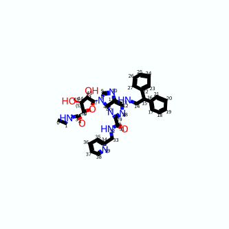 CCNC(=O)[C@H]1O[C@@H](n2cnc3c(NCC(c4ccccc4)c4ccccc4)nc(C(=O)NCc4ccccn4)nc32)[C@@H](O)[C@@H]1O